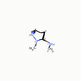 CNC1CC=NN1C